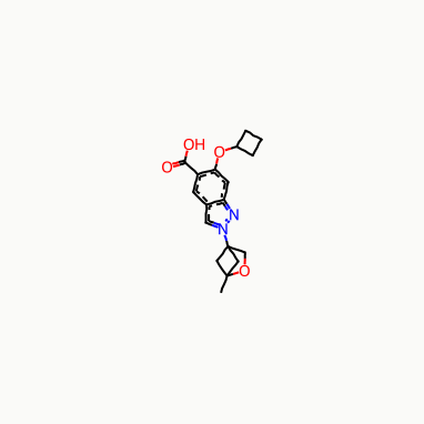 CC12CC(n3cc4cc(C(=O)O)c(OC5CCC5)cc4n3)(CO1)C2